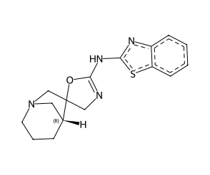 c1ccc2sc(NC3=NCC4(CN5CCC[C@@H]4C5)O3)nc2c1